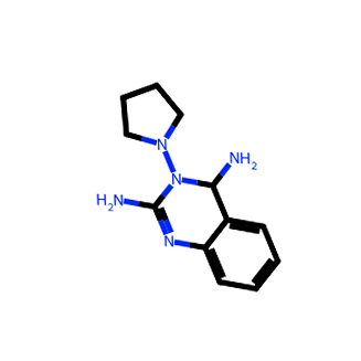 NC1=Nc2ccccc2C(N)N1N1CCCC1